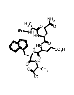 CCC(=O)[C@@H](C)NC(=O)[C@H](Cc1cccc2ccccc12)NC(=O)[C@H](CCC(=O)O)NC(=O)[C@H](CCC(N)=O)NC(=O)[C@@H](C)NC(C)C